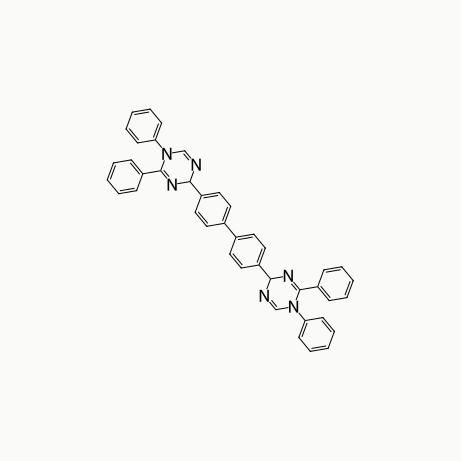 C1=NC(c2ccc(-c3ccc(C4N=CN(c5ccccc5)C(c5ccccc5)=N4)cc3)cc2)N=C(c2ccccc2)N1c1ccccc1